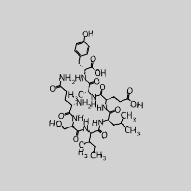 CC[C@@H](C)[C@@H](NC(=O)[C@@H](CO)NC(=O)[C@@H](N)CCC(N)=O)C(=O)N[C@H](CC(C)C)C(=O)N[C@H](CCC(=O)O)C(=O)N[C@H](C)C(=O)N[C@H](Cc1ccc(O)cc1)C(=O)O